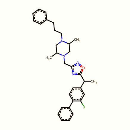 CC(c1ccc(-c2ccccc2)c(F)c1)c1nc(CN2CC(C)N(CCCc3ccccc3)CC2C)no1